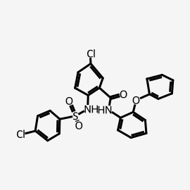 O=C(Nc1ccccc1Oc1ccccc1)c1cc(Cl)ccc1NS(=O)(=O)c1ccc(Cl)cc1